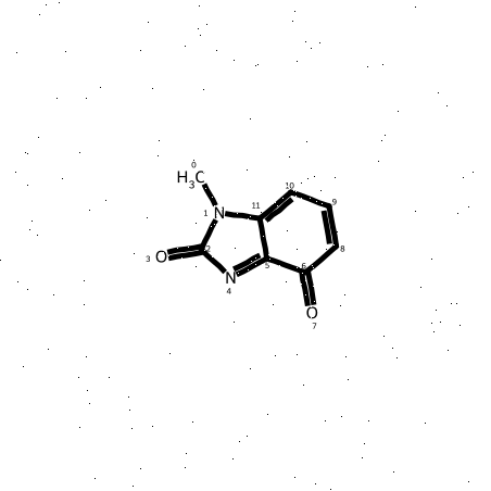 CN1C(=O)N=C2C(=O)C=CC=C21